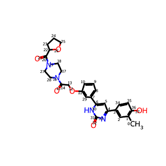 Cc1cc(-c2cc(-c3cccc(OCC(=O)N4CCN(C(=O)C5CCCO5)CC4)c3)[nH]c(=O)n2)ccc1O